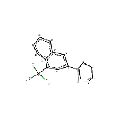 FC(F)(F)c1cc(C2=CC=CC[CH]2)cc2ccccc12